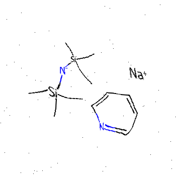 C[Si](C)(C)[N-][Si](C)(C)C.[Na+].c1ccncc1